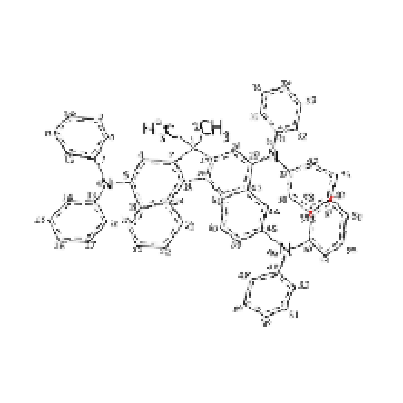 CC1(C)c2cc(N(c3ccccc3)c3ccccc3)c3ccccc3c2-c2c1cc(N(c1ccccc1)c1ccccc1)c1cc(N(c3ccccc3)c3ccccc3)ccc21